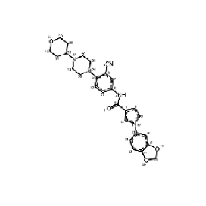 N#Cc1cc(NC(=O)c2ccn(-c3ccc4c(c3)OCO4)c2)ccc1N1CCN(C2CCOCC2)CC1